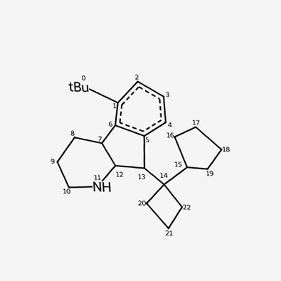 CC(C)(C)c1cccc2c1C1CCCNC1C2C1(C2CCCC2)CCC1